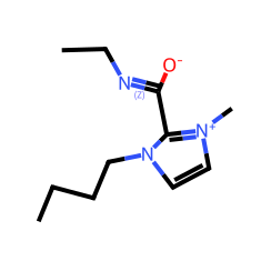 CCCCn1cc[n+](C)c1/C([O-])=N/CC